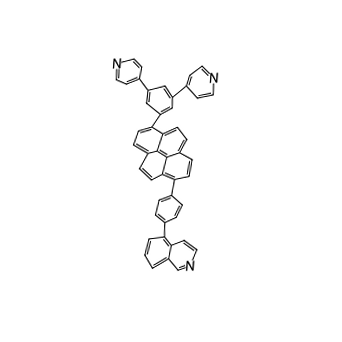 c1cc(-c2ccc(-c3ccc4ccc5c(-c6cc(-c7ccncc7)cc(-c7ccncc7)c6)ccc6ccc3c4c65)cc2)c2ccncc2c1